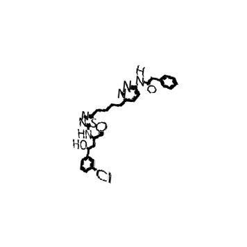 O=CC(CC(O)c1cccc(Cl)c1)Nc1nnc(CCCCc2ccc(NC(=O)Cc3ccccc3)nn2)s1